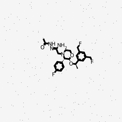 CC(=O)N/N=C(\N)CN1CCO[C@H](O[C@H](C)c2cc(CF)cc(CF)c2)[C@@H]1c1ccc(F)cc1